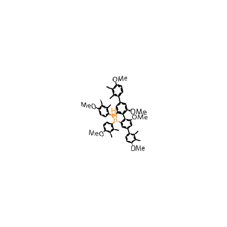 COc1ccc(Pc2cc(-c3ccc(OC)c(C)c3C)cc(OC)c2-c2c(OC)cc(-c3ccc(OC)c(C)c3C)cc2Pc2ccc(OC)c(C)c2C)c(C)c1C